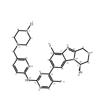 CCN1CCN(Cc2ccc(Nc3ncc(F)c(-c4cc(F)c5nc6n(c5c4)[C@H](C(C)C)COC6)n3)nc2)CC1